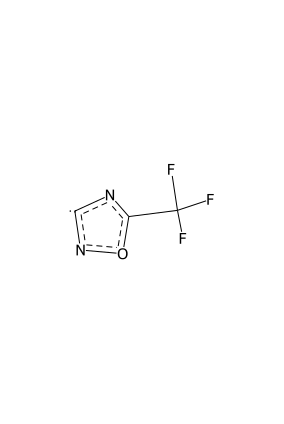 FC(F)(F)c1n[c]no1